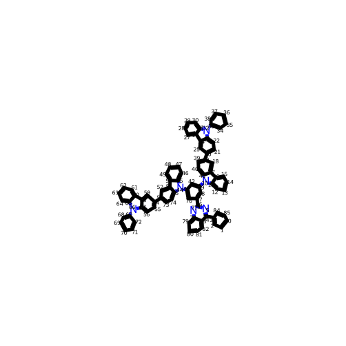 c1ccc(-c2nc(-c3cc(-n4c5ccccc5c5cc(-c6ccc7c(c6)c6ccccc6n7-c6ccccc6)ccc54)cc(-n4c5ccccc5c5cc(-c6ccc7c(c6)c6ccccc6n7-c6ccccc6)ccc54)c3)nc3ccccc23)cc1